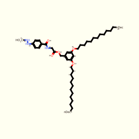 CCCCCCCCCCCCCCCCCCCCCCOc1cc(COC(=O)CNC(=O)c2ccc(NNC(=O)O)cc2)cc(OCCCCCCCCCCCCCCCCCCCCCC)c1